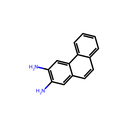 Nc1cc2ccc3ccccc3c2cc1N